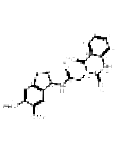 COc1cc2c(cc1OC)C(NC(=O)Cn1c(=O)[nH]c3ccccc3c1=O)CC2